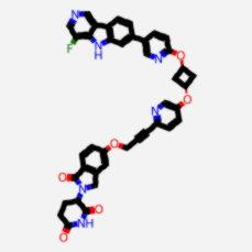 O=C1CCC(N2Cc3cc(OCC#Cc4ccc(O[C@H]5C[C@H](Oc6ccc(-c7ccc8c(c7)[nH]c7c(F)cncc78)cn6)C5)cn4)ccc3C2=O)C(=O)N1